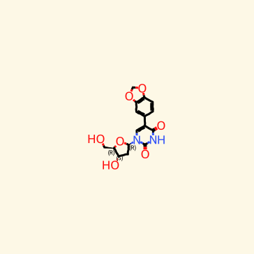 O=c1[nH]c(=O)n([C@H]2C[C@H](O)[C@@H](CO)O2)cc1-c1ccc2c(c1)OCO2